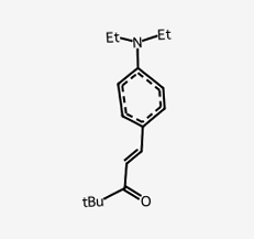 CCN(CC)c1ccc(/C=C/C(=O)C(C)(C)C)cc1